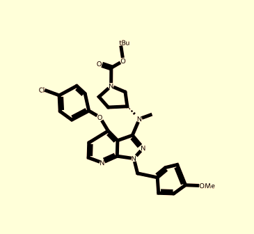 COc1ccc(Cn2nc(N(C)[C@@H]3CCN(C(=O)OC(C)(C)C)C3)c3c(Oc4ccc(Cl)cc4)ccnc32)cc1